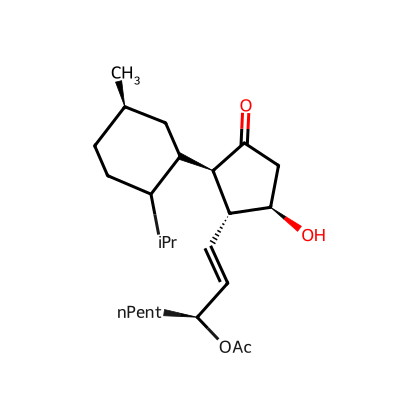 CCCCC[C@@H](/C=C/[C@H]1[C@H](O)CC(=O)[C@@H]1C1C[C@H](C)CCC1C(C)C)OC(C)=O